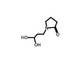 O=C1CCCN1CCC(O)O